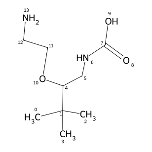 CC(C)(C)C(CNC(=O)O)OCCN